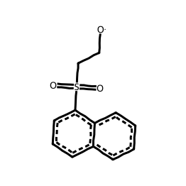 [O]CCS(=O)(=O)c1cccc2ccccc12